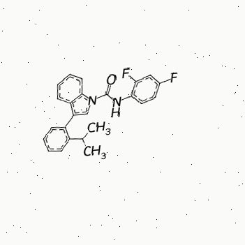 CC(C)c1ccccc1-c1cn(C(=O)Nc2ccc(F)cc2F)c2ccccc12